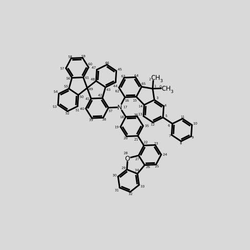 CC1(C)c2cc(-c3ccccc3)ccc2-c2c(N(c3ccc(-c4cccc5c4oc4ccccc45)cc3)c3cccc4c3-c3ccccc3C43c4ccccc4-c4ccccc43)cccc21